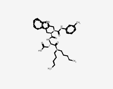 CCCCCN(CCCCC)C(=O)[C@H](CC(=O)O)NC(=O)[C@H]1Cc2c([nH]c3ccccc23)CN1C(=O)Nc1cccc(C)c1